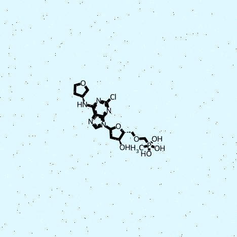 CP(O)(O)(O)COC[C@H]1OC(n2cnc3c(N[C@H]4CCOC4)nc(Cl)nc32)C[C@@H]1O